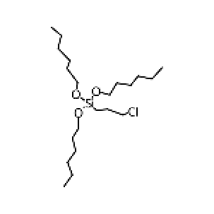 CCCCCCO[Si](CCCCl)(OCCCCCC)OCCCCCC